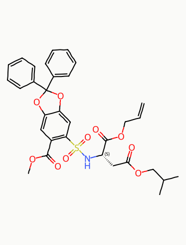 C=CCOC(=O)[C@H](CC(=O)OCC(C)C)NS(=O)(=O)c1cc2c(cc1C(=O)OC)OC(c1ccccc1)(c1ccccc1)O2